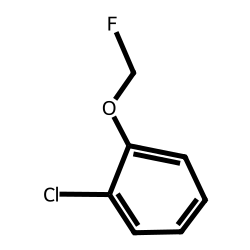 FCOc1ccccc1Cl